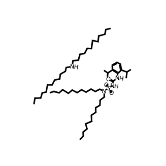 CCCCCCCCCCCCN(CCCCCCCCCCCC)S(=O)(=O)NC(=O)Nc1c(C(C)C)cccc1C(C)C.CCCCCCCCCCCCNCCCCCCCCCCCC